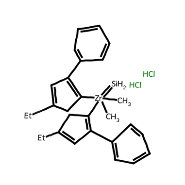 CCC1=CC(c2ccccc2)=[C]([Zr]([CH3])([CH3])(=[SiH2])[C]2=C(c3ccccc3)C=C(CC)C2)C1.Cl.Cl